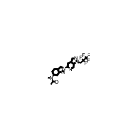 CC(=O)N(C)c1ccc2cn(-c3cc4cnn(CC(F)(F)C(F)(F)F)c4cn3)nc2c1